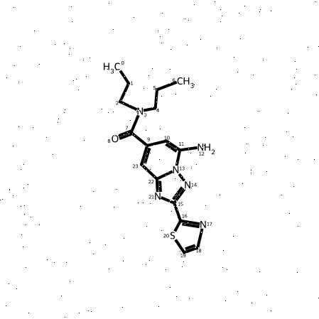 CCCN(CCC)C(=O)c1cc(N)n2nc(-c3nccs3)nc2c1